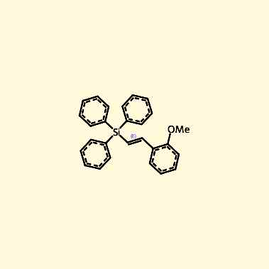 COc1ccccc1/C=C/[Si](c1ccccc1)(c1ccccc1)c1ccccc1